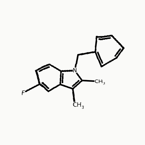 Cc1c(C)n(Cc2ccccc2)c2ccc(F)cc12